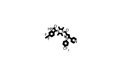 CC1C(C)N(C2C(=O)Nc3cc(C(C)(F)F)ccc32)C(C)C(C)N1C(=O)c1cc(-c2ccncc2)n(-c2ccc(C(F)(F)F)cc2)n1